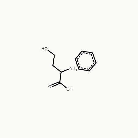 NC(CCO)C(=O)O.c1ccccc1